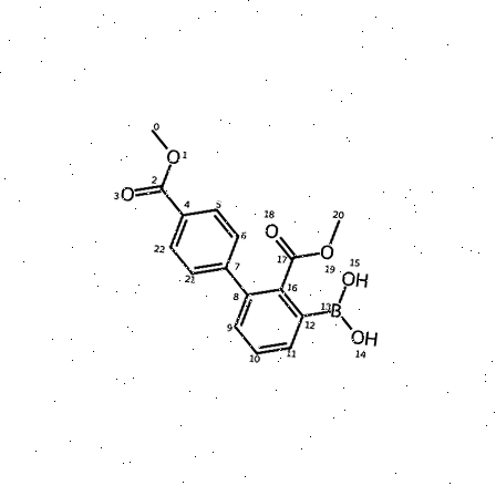 COC(=O)c1ccc(-c2cccc(B(O)O)c2C(=O)OC)cc1